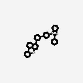 c1ccc(-c2nc3ccccc3n2-c2ccc(-c3cccc(-c4ccc5c6c(cccc46)-c4ccccc4O5)c3)cc2)cc1